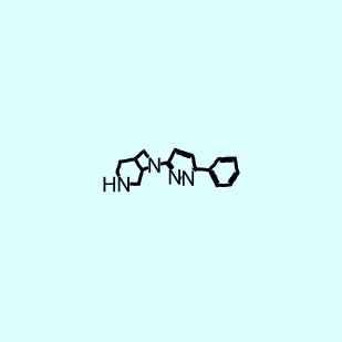 c1ccc(-c2ccc(N3CC4CCNCC43)nn2)cc1